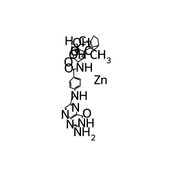 CC1(C)C2CCC1(C)C(C(CC(NC(=O)c1ccc(NCc3cnc4nc(N)[nH]c(=O)c4n3)cc1)C(=O)O)C(=O)O)C2.[Zn]